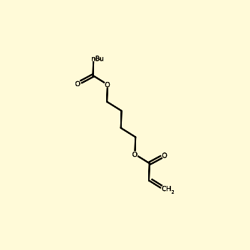 C=CC(=O)OCCCCOC(=O)CCCC